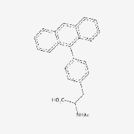 CC(=O)NC(Cc1ccc(-c2c3ccccc3cc3ccccc23)cc1)C(=O)O